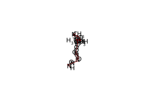 Cc1ncsc1-c1ccc(CNC(=O)[C@@H]2C[C@@H](O)CN2C(=O)[C@@H](NC(=O)CCOCCOCCOCCC(=O)N2CCN(c3ccc(C(=O)N4CCC(CCCCNC(=O)/C=C/c5cccnc5)CC4)cc3)CC2)C(C)(C)C)cc1